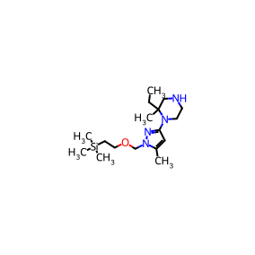 CCC1(C)CNCCN1c1cc(C)n(COCC[Si](C)(C)C)n1